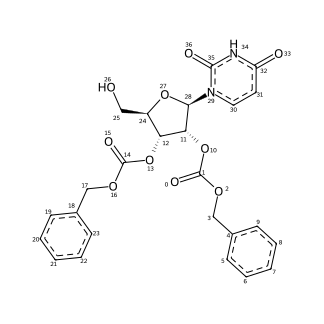 O=C(OCc1ccccc1)O[C@@H]1[C@H](OC(=O)OCc2ccccc2)[C@@H](CO)O[C@H]1n1ccc(=O)[nH]c1=O